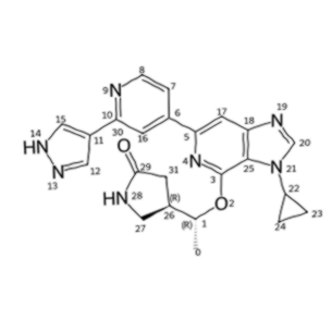 C[C@@H](Oc1nc(-c2ccnc(-c3cn[nH]c3)c2)cc2ncn(C3CC3)c12)[C@H]1CNC(=O)C1